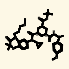 COCCCN1C(=O)C(C)(C)Oc2ccc(N(C(=O)[C@@H]3C[C@H](C(=O)N[C@@H](C)c4ccc(OC)cc4)CN(C(=O)OC(C)(C)C)C3)C3CC3)cc21